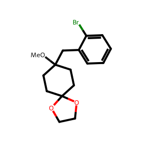 COC1(Cc2ccccc2Br)CCC2(CC1)OCCO2